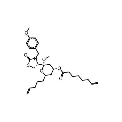 C=CCCCCCC(=O)O[C@@H]1C[C@@H](CCCC=C)O[C@@](OC)([C@@H]2CSC(=O)N2Cc2ccc(OC)cc2)C1